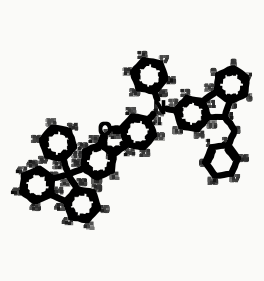 C1=CC(CC2c3ccccc3-c3cc(N(c4ccccc4)c4ccc5c(c4)oc4cc(C6(c7ccccc7)c7ccccc7-c7ccccc76)ccc45)ccc32)=CCC1